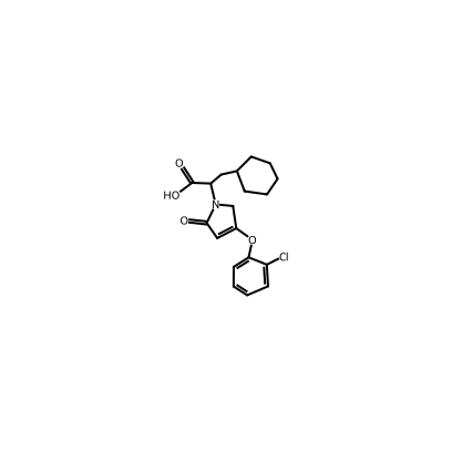 O=C(O)C(CC1CCCCC1)N1CC(Oc2ccccc2Cl)=CC1=O